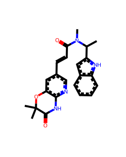 CC(c1cc2ccccc2[nH]1)N(C)C(=O)C=Cc1cnc2c(c1)OC(C)(C)C(=O)N2